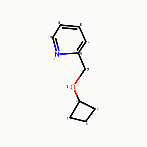 [CH](OC1CCC1)c1ccccn1